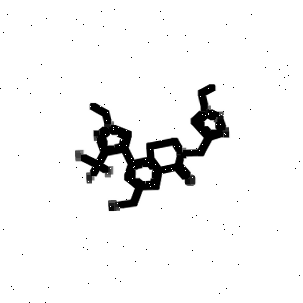 CCn1cc(CN2CCc3c(cc(CBr)cc3-c3cn(CC)nc3C(F)(F)F)C2=O)nn1